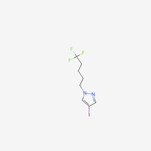 FC(F)(F)CCCCn1cc(I)cn1